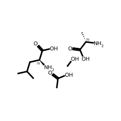 CC(=O)O.CC(C)C[C@H](N)C(=O)O.CO.C[C@H](N)C(=O)O